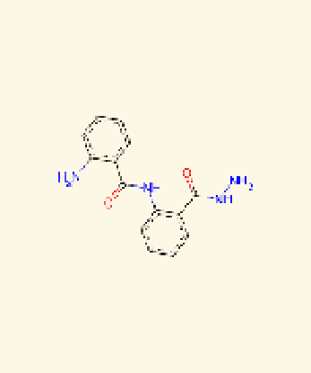 NNC(=O)c1ccccc1NC(=O)c1ccccc1N